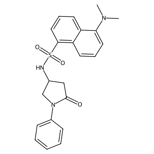 CN(C)c1cccc2c(S(=O)(=O)NC3CC(=O)N(c4ccccc4)C3)cccc12